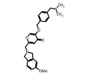 COc1ccc2c(c1)CN(Cc1cc(=O)c(OCc3ccc(CN(C)C)cc3)co1)C2